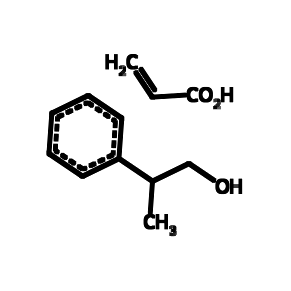 C=CC(=O)O.CC(CO)c1ccccc1